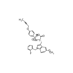 CC#CCOc1ccc(S(=O)(=O)N[C@@H](Cc2cn(Cc3ccccc3F)c3ccc(OC)cc23)C(=O)O)cc1